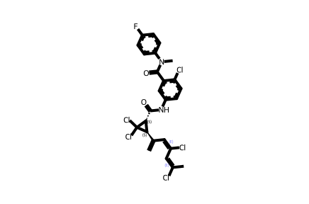 C=C(/C=C(Cl)\C=C(/C)Cl)[C@@H]1[C@@H](C(=O)Nc2ccc(Cl)c(C(=O)N(C)c3ccc(F)cc3)c2)C1(Cl)Cl